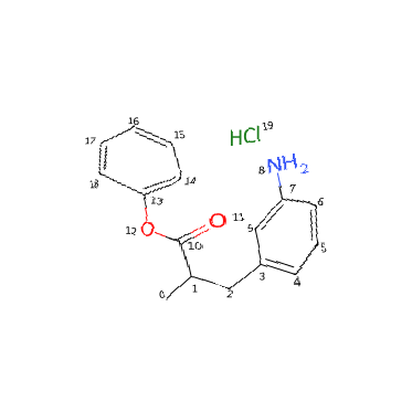 CC(Cc1cccc(N)c1)C(=O)Oc1ccccc1.Cl